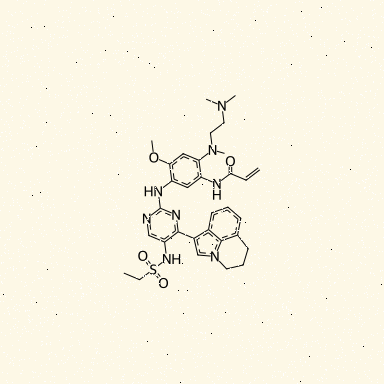 C=CC(=O)Nc1cc(Nc2ncc(NS(=O)(=O)CC)c(-c3cn4c5c(cccc35)CCC4)n2)c(OC)cc1N(C)CCN(C)C